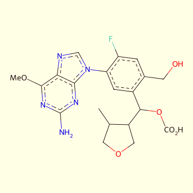 COc1nc(N)nc2c1ncn2-c1cc(C(OC(=O)O)C2COCC2C)c(CO)cc1F